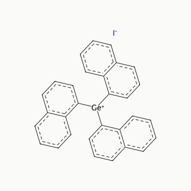 [I-].c1ccc2[c]([Ge+]([c]3cccc4ccccc34)[c]3cccc4ccccc34)cccc2c1